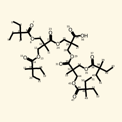 CCC(C)(CC)C(=O)OCC(C)(COC(=O)C(C)(CC)CC)C(=O)OCC(C)(COC(=O)C(C)(COC(=O)C(C)(CC)CC)COC(=O)C(C)(CC)CC)C(=O)O